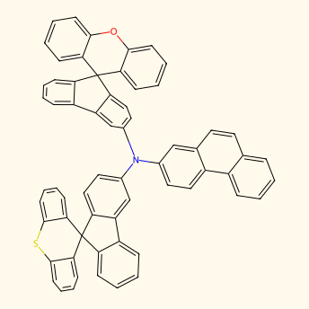 c1ccc2c(c1)Oc1ccccc1C21c2ccccc2-c2cc(N(c3ccc4c(c3)-c3ccccc3C43c4ccccc4Sc4ccccc43)c3ccc4c(ccc5ccccc54)c3)ccc21